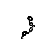 O=C(C1CCN(Cc2ccccn2)CC1)N1CCN(Cc2cccc(Cl)c2)CC1